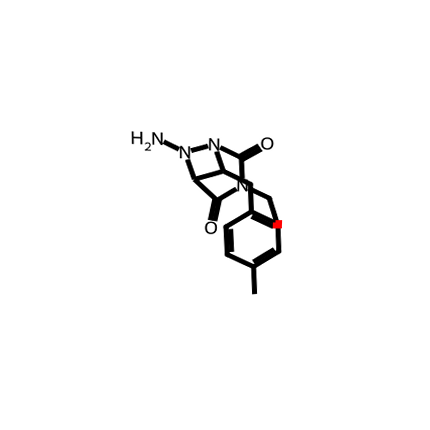 CCN1C(=O)C2C(Cc3ccc(C)cc3)N(C1=O)N2N